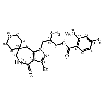 CCc1nn(C[C@@H](C)COC(=O)c2ccc(Cl)cc2OC)c2c1C(=O)NCC1(CCOCC1)C2